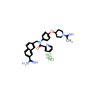 CC(=N)N1CCC(Oc2ccc(N(Cc3ccc4ccc(C(=N)N)cc4c3)C(=O)c3ccccn3)cc2)CC1.Cl.Cl.Cl